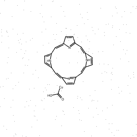 C1=Cc2cc3ccc(cc4nc(cc5ccc(cc1n2)[nH]5)C=C4)[nH]3.O=[C](O)[Cu]